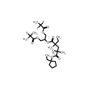 CCC1(OC(=O)C(C)(C)CC(C)(CC)C(=O)OC(COC(=O)C(C)(C)F)COC(=O)C(C)(F)F)CCCC1